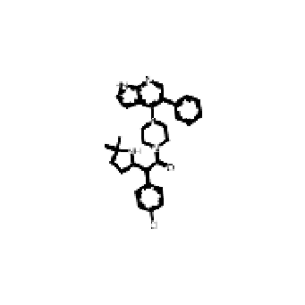 CC1(C)CCC(C(C(=O)N2CCN(c3c(-c4ccccc4)cnc4[nH]ccc34)CC2)c2ccc(Cl)cc2)N1